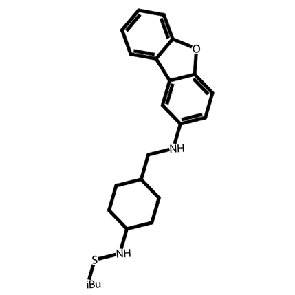 CCC(C)SNC1CCC(CNc2ccc3oc4ccccc4c3c2)CC1